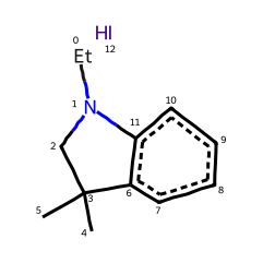 CCN1CC(C)(C)c2ccccc21.I